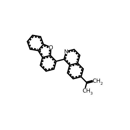 C=C(C)c1ccc2c(-c3cccc4c3oc3ccccc34)nccc2c1